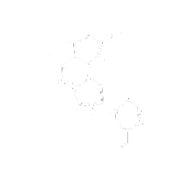 C=Cc1cc(-c2cnc(N[C@H](C)c3ccc(F)cc3)cn2)cnn1